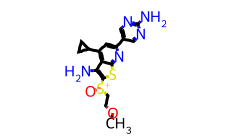 COCC[S@@+]([O-])c1sc2nc(-c3cnc(N)nc3)cc(C3CC3)c2c1N